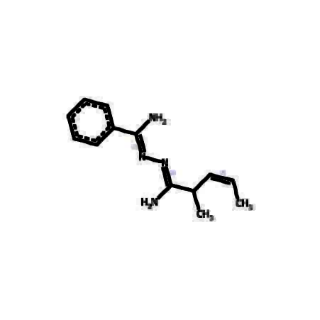 C/C=C\C(C)/C(N)=N/N=C(\N)c1ccccc1